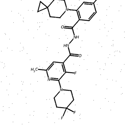 Cc1cc(C(=O)NNC(=O)c2ccc(I)cc2N2CCC3(CC2)CC3)c(F)c(N2CCC(F)(F)CC2)n1